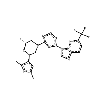 Cc1nn(C)cc1[C@@H]1CN(c2cc(-c3cnc4ccc(C(F)(F)F)nn34)ncn2)C[C@@H](C)O1